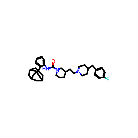 O=C(Nc1ccccc1C12CC3CC(CC(C3)C1)C2)N1CCCC(CCN2CCC(Cc3ccc(F)cc3)CC2)C1